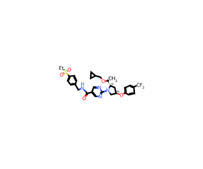 C=C(OCC1CC1)[C@@H]1C[C@@H](Oc2ccc(C(F)(F)F)cc2)CN1c1ncc(C(=O)NCc2ccc(S(=O)(=O)CC)cc2)cn1